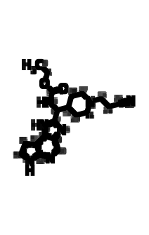 CCOC(=O)NC(c1nc2cnc3[nH]ccc3c2[nH]1)C1CCN(CCC#N)CC1